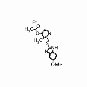 CCOC(C)Oc1ccnc(CSc2nc3cc(OC)ccc3[nH]2)c1C